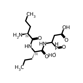 CCC[C@H](NC(=O)[C@@H](N)CCC)C(=O)NC(CC(=O)O)[PH](=O)O